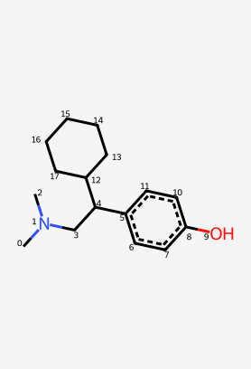 CN(C)CC(c1ccc(O)cc1)C1CCCCC1